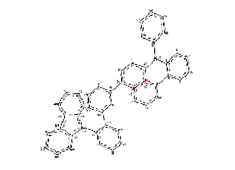 c1ccc(-c2ccccc2N(c2ccccc2)c2ccc(-c3cccc(-c4ccccc4-n4c5ccccc5c5ccccc54)c3)cc2)cc1